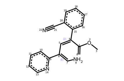 C=C(OC)/C(=C\C(=C/N)c1ccccn1)c1ccccc1C#N